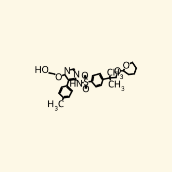 Cc1ccc(-c2c(NS(=O)(=O)c3ccc(C(C)(C)COC4CCCCO4)cc3)ncnc2OCCO)cc1